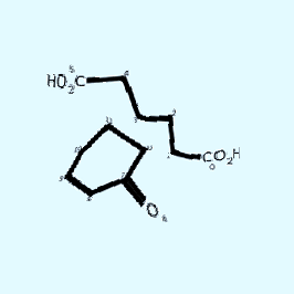 O=C(O)CCCCC(=O)O.O=C1CCCCC1